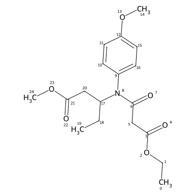 CCOC(=O)CC(=O)N(c1ccc(OC)cc1)C(CC)CC(=O)OC